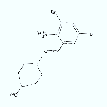 Nc1c(Br)cc(Br)cc1/C=N/C1CCC(O)CC1